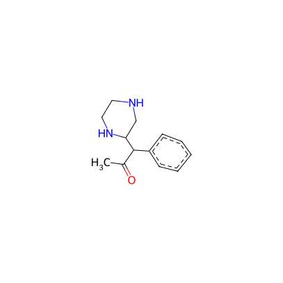 CC(=O)C(c1ccccc1)C1CNCCN1